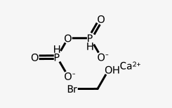 O=[PH]([O-])O[PH](=O)[O-].OCBr.[Ca+2]